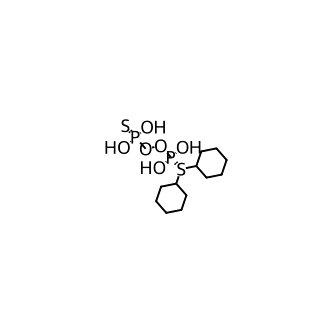 OP(O)(=S)OOP(O)(O)=S(C1CCCCC1)C1CCCCC1